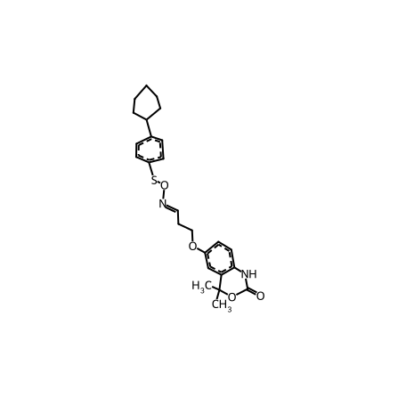 CC1(C)OC(=O)Nc2ccc(OCCC=NOSc3ccc(C4CCCCC4)cc3)cc21